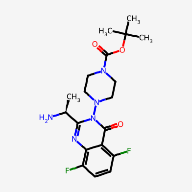 C[C@H](N)c1nc2c(F)ccc(F)c2c(=O)n1N1CCN(C(=O)OC(C)(C)C)CC1